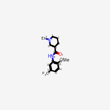 CCN1CCCC(C(=O)Nc2cc(C(F)(F)F)ccc2OC)C1